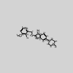 COc1ccnc(CSc2nc3cc(N4CCN(C)CC4)ccc3[nH]2)c1C